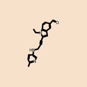 CCn1c(C#CCNc2ccc(C)nc2)cc2cc(C=O)ccc21